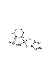 CCCCC(C#N)(Cn1ccnc1)c1ccccc1OC